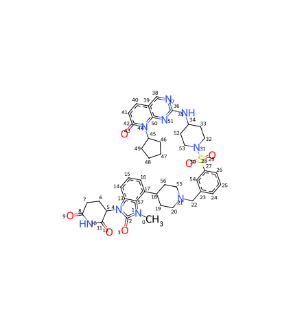 Cn1c(=O)n(C2CCC(=O)NC2=O)c2cccc(C3CCN(Cc4cccc(S(=O)(=O)N5CCC(Nc6ncc7ccc(=O)n(C8CCCC8)c7n6)CC5)c4)CC3)c21